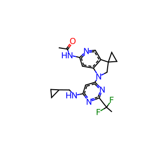 CC(=O)Nc1cc2c(cn1)C1(CC1)CN2c1cc(NCC2CC2)nc(C(C)(F)F)n1